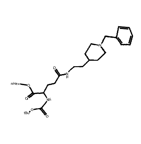 CCCCCCOC(=O)C(CCC(=O)NCCC1CCN(Cc2ccccc2)CC1)NC(=O)OC(C)(C)C